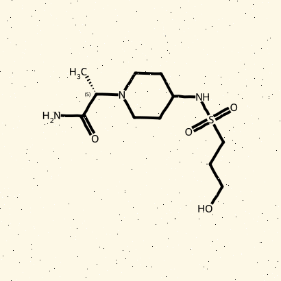 C[C@@H](C(N)=O)N1CCC(NS(=O)(=O)C[CH]CO)CC1